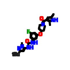 Cc1cc(C(=O)N2CCC(Oc3cc(F)cc(NC(=O)Nc4cc(C(C)(C)C)nn4C)c3)CC2)c(C)[nH]1